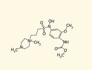 COC(=O)Nc1ccc(N(O)S(=O)(=O)CCC[N+]2(C)CCN(C)CC2)cc1OC